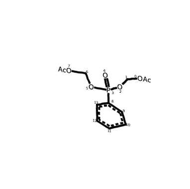 CC(=O)OCOP(=O)(OCOC(C)=O)c1ccccc1